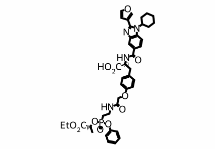 CCOC(=O)[C@@H](C)OP(=O)(CCNC(=O)COc1ccc(C[C@H](NC(=O)c2ccc3c(c2)nc(-c2ccoc2)n3C2CCCCC2)C(=O)O)cc1)Oc1ccccc1